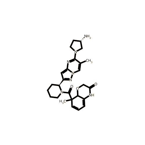 Cc1cn2nc([C@@H]3CCCCN3C(=O)C3(C)C=CC=C4NC(=O)COC43)cc2nc1N1CC[C@H](N)C1